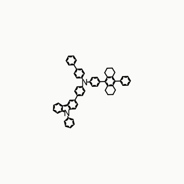 c1ccc(-c2ccc(N(c3ccc(-c4ccc5c(c4)c4ccccc4n5-c4ccccc4)cc3)c3ccc(-c4c5c(c(-c6ccccc6)c6c4CCCC6)CCCC5)cc3)cc2)cc1